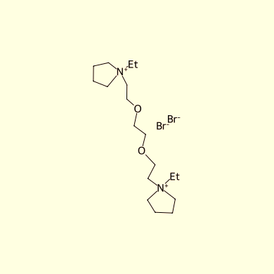 CC[N+]1(CCOCCOCC[N+]2(CC)CCCC2)CCCC1.[Br-].[Br-]